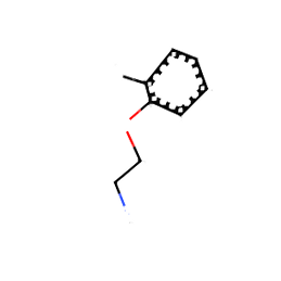 CCOC(=O)c1ccccc1OCCN